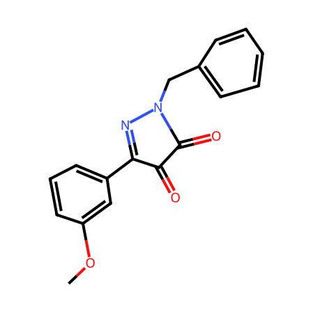 COc1cccc(C2=NN(Cc3ccccc3)C(=O)C2=O)c1